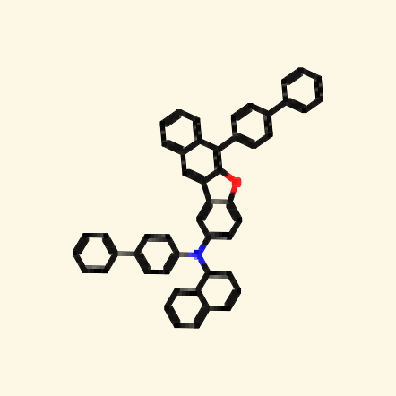 c1ccc(-c2ccc(-c3c4ccccc4cc4c3oc3ccc(N(c5ccc(-c6ccccc6)cc5)c5cccc6ccccc56)cc34)cc2)cc1